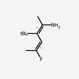 C/C(F)=C\C(=C(\C)N)C(C)(C)C